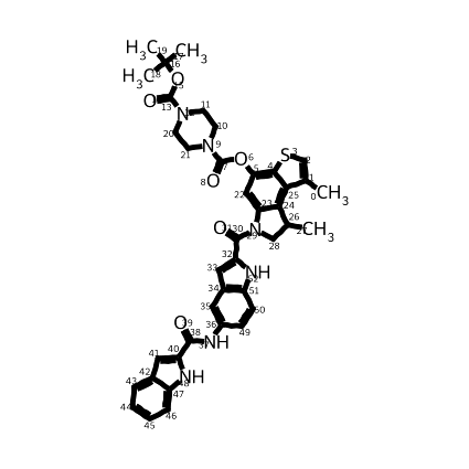 Cc1csc2c(OC(=O)N3CCN(C(=O)OC(C)(C)C)CC3)cc3c(c12)C(C)CN3C(=O)c1cc2cc(NC(=O)c3cc4ccccc4[nH]3)ccc2[nH]1